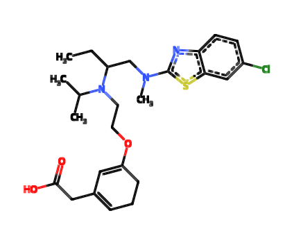 CCC(CN(C)c1nc2ccc(Cl)cc2s1)N(CCOC1=CC(CC(=O)O)=CCC1)C(C)C